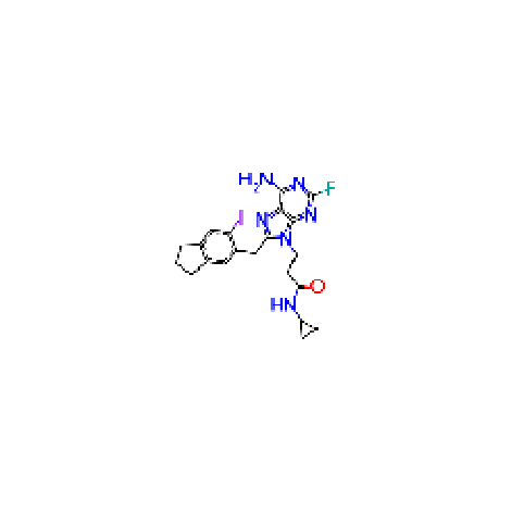 Nc1nc(F)nc2c1nc(Cc1cc3c(cc1I)CCC3)n2CCC(=O)NC1CC1